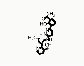 C[C@H](F)C[C@@](C)(CNc1ccc(-c2cccc(C(N)=O)c2O)nn1)c1ncccc1F